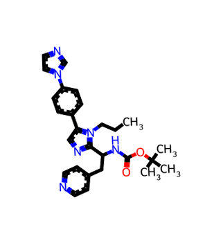 CCCn1c(-c2ccc(-n3ccnc3)cc2)cnc1C(Cc1ccncc1)NC(=O)OC(C)(C)C